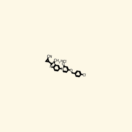 Cl.Cn1c(C2CC2C#N)nc2ccc(-n3ccc(OCc4ccc(Cl)cc4)cc3=O)cc21